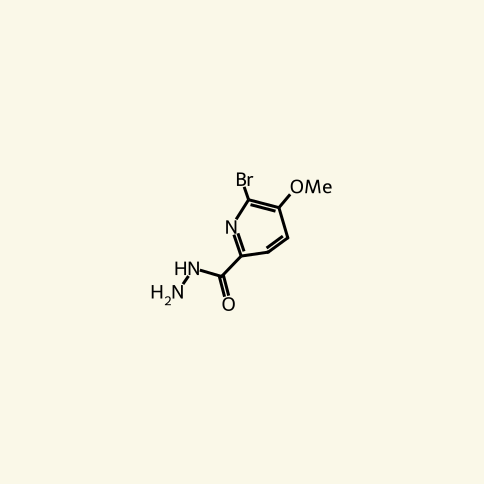 COc1ccc(C(=O)NN)nc1Br